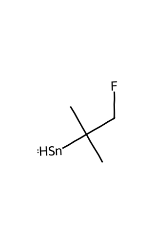 C[C](C)([SnH])CF